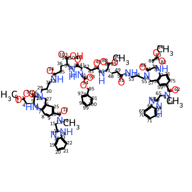 COC(=O)C[C@@H]1Nc2ccc(C(=O)N(C)Cc3nc4ccccc4[nH]3)cc2CN(CCCNC(=O)CC[C@H](NC(=O)[C@H](CCC(=O)N[C@@H](CCC(=O)NCCCN2Cc3cc(C(=O)N(C)Cc4nc5ccccc5[nH]4)ccc3N[C@@H](CC(=O)OC)C2=O)C(=O)OC)NC(=O)OCc2ccccc2)C(=O)O)C1=O